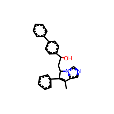 CC1=C(c2ccccc2)C(CC(O)c2ccc(-c3ccccc3)cc2)n2cncc21